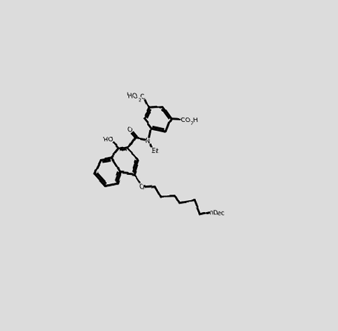 CCCCCCCCCCCCCCCCOc1cc(C(=O)N(CC)c2cc(C(=O)O)cc(C(=O)O)c2)c(O)c2ccccc12